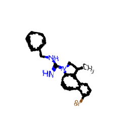 CC1CN(C(=N)NCc2ccccc2)c2ccc3c(Br)cccc3c21